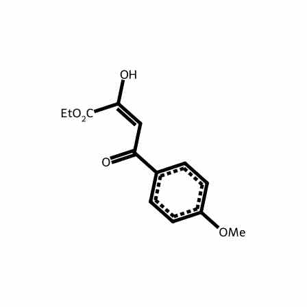 CCOC(=O)/C(O)=C\C(=O)c1ccc(OC)cc1